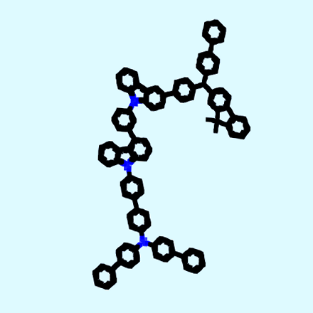 CC1(C)c2ccccc2-c2ccc(C(c3ccc(-c4ccccc4)cc3)c3ccc(-c4ccc5c(c4)c4ccccc4n5-c4cccc(-c5cccc6c5c5ccccc5n6-c5ccc(-c6ccc(N(c7ccc(-c8ccccc8)cc7)c7ccc(-c8ccccc8)cc7)cc6)cc5)c4)cc3)cc21